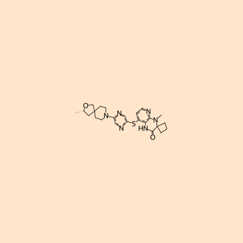 C[C@H]1CC2(CCN(c3cnc(Sc4ccnc5c4NC(=O)C4(CCC4)N5C)cn3)CC2)CO1